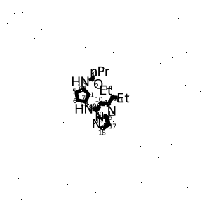 CCCC(=O)N[C@H]1CC[C@H](Nc2cc(C(CC)CC)nc3ccnn23)C1